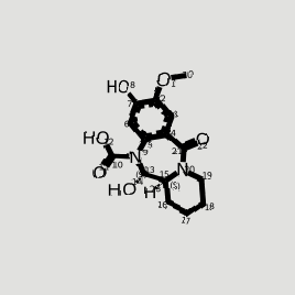 COc1cc2c(cc1O)N(C(=O)O)[C@@H](O)[C@@H]1CCCCN1C2=O